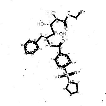 CC(C)CNC(=O)[C@H](C)[C@@H](O)[C@H](O)[C@H](Cc1ccccc1)NC(=O)c1ccc(S(=O)(=O)N2CCCC2)cc1